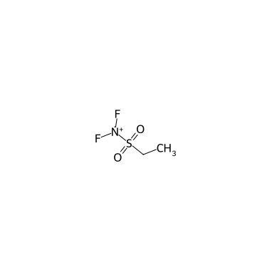 CCS(=O)(=O)[N+](F)F